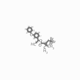 C#CC(OC(=O)C1C(CC(Br)(Br)Br)C1(C)C)c1cccc(Oc2ccccc2)c1